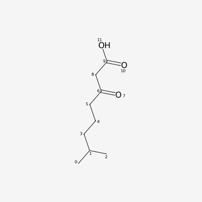 CC(C)CCCC(=O)CC(=O)O